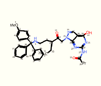 COc1ccc(C(NCCC(CC(=O)O)C(=O)Cn2ncc3c(O)nc(NC(=O)C(C)C)nc32)(c2ccccc2)c2ccccc2)cc1